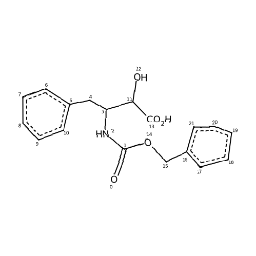 O=C(NC(Cc1ccccc1)C(O)C(=O)O)OCc1ccccc1